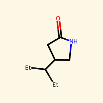 CCC(CC)C1CNC(=O)C1